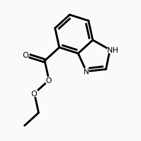 CCOOC(=O)c1cccc2[nH]cnc12